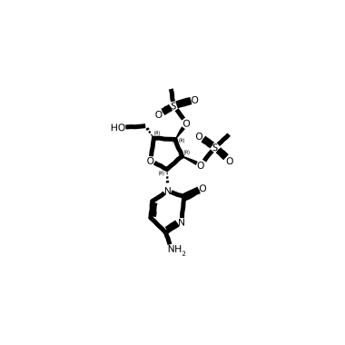 CS(=O)(=O)O[C@@H]1[C@H](OS(C)(=O)=O)[C@@H](CO)O[C@H]1n1ccc(N)nc1=O